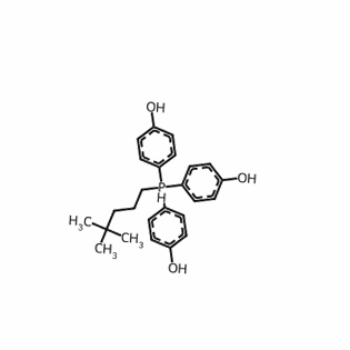 CC(C)(C)CCC[PH](c1ccc(O)cc1)(c1ccc(O)cc1)c1ccc(O)cc1